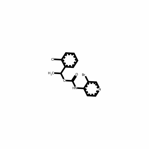 CC(OC(=O)Nc1ccncc1Br)c1ccccc1Cl